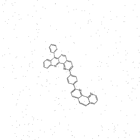 c1ccc(-c2c3ccccc3nc3c2ccc2ccc(-c4ccc(-c5ccc6ccc7cccnc7c6n5)cc4)nc23)cc1